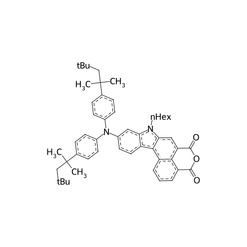 CCCCCCn1c2cc(N(c3ccc(C(C)(C)CC(C)(C)C)cc3)c3ccc(C(C)(C)CC(C)(C)C)cc3)ccc2c2c3cccc4c3c(cc21)C(=O)OC4=O